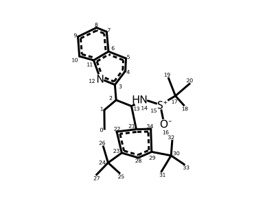 CCC(c1ccc2ccccc2n1)[C@@H](N[S+]([O-])C(C)(C)C)c1cc(C(C)(C)C)cc(C(C)(C)C)c1